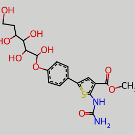 COC(=O)c1cc(-c2ccc(OC(O)C(O)C(O)C(O)CCO)cc2)sc1NC(N)=O